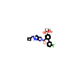 CS(=O)(=O)c1ccc(-c2cccc(F)c2)c(C(=O)N2Cc3cn(CC4CCC4)nc3C2)c1